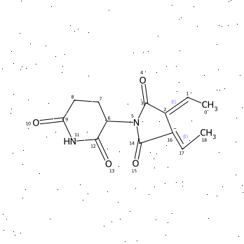 C/C=C1/C(=O)N(C2CCC(=O)NC2=O)C(=O)/C1=C/C